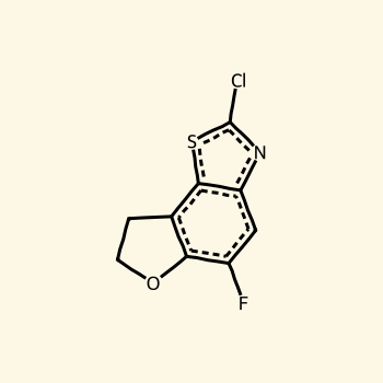 Fc1cc2nc(Cl)sc2c2c1OCC2